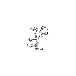 C=C(CC)C(=C)C(C)CCC(N)/C=C(\C)CCCC